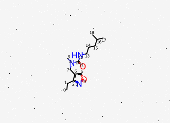 CCc1nocc1CN(C)C(=O)NCCCC(C)C